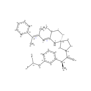 CC(/N=C1/N[C@@]2(CCC1C)CCN(C(=O)[C@@H](C)c1ccnc(OC(F)F)c1)C2)=C(/C)c1ncccn1